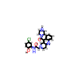 COc1ccc(Cl)cc1NC(=O)CN1CCc2nc3ccccc3c(C(=O)N3CCN(C)CC3)c2C1